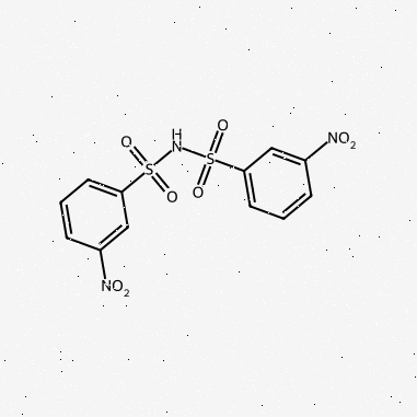 O=[N+]([O-])c1cccc(S(=O)(=O)NS(=O)(=O)c2cccc([N+](=O)[O-])c2)c1